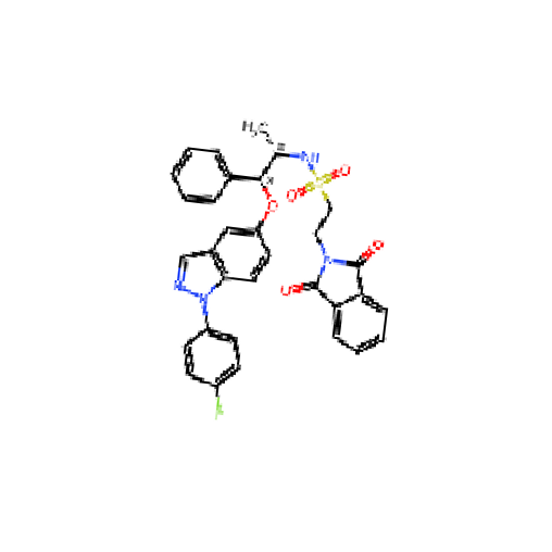 C[C@H](NS(=O)(=O)CCN1C(=O)c2ccccc2C1=O)[C@@H](Oc1ccc2c(cnn2-c2ccc(F)cc2)c1)c1ccccc1